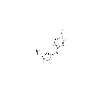 OCc1coc([N]c2ccc(I)cc2)c1